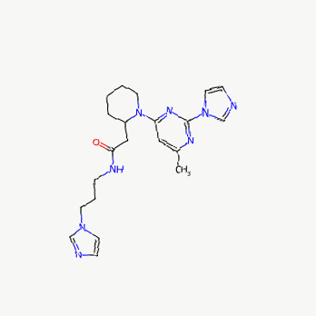 Cc1cc(N2CCCCC2CC(=O)NCCCn2ccnc2)nc(-n2ccnc2)n1